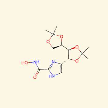 CC1(C)O[C@H]([C@H]2COC(C)(C)O2)[C@@H](c2c[nH]c(C(=O)NO)n2)O1